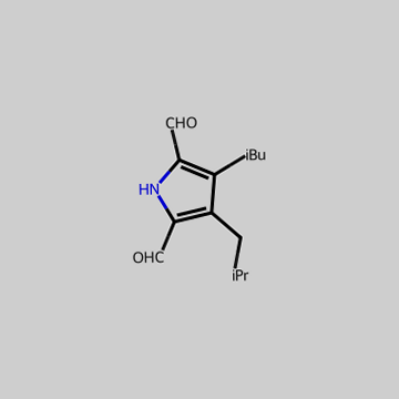 CCC(C)c1c(C=O)[nH]c(C=O)c1CC(C)C